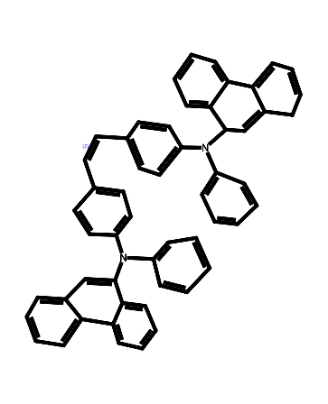 C1=CCC2=CC(N(c3ccccc3)c3ccc(/C=C\c4ccc(N(c5ccccc5)c5cc6ccccc6c6ccccc56)cc4)cc3)c3ccccc3C2=C1